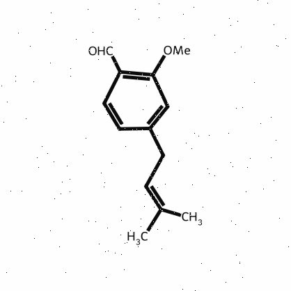 COc1cc(CC=C(C)C)ccc1C=O